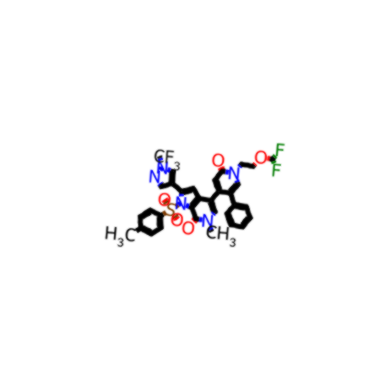 Cc1ccc(S(=O)(=O)n2c(-c3cnn(C(F)(F)F)c3)cc3c(-c4cc(=O)n(CCOC(F)F)cc4-c4ccccc4)cn(C)c(=O)c32)cc1